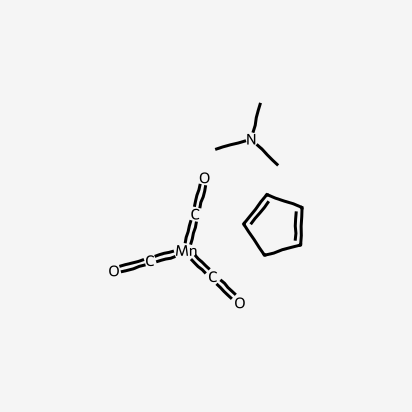 C1=CCC=C1.CN(C)C.O=[C]=[Mn](=[C]=O)=[C]=O